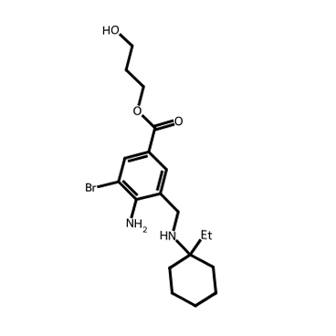 CCC1(NCc2cc(C(=O)OCCCO)cc(Br)c2N)CCCCC1